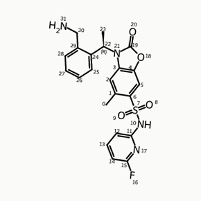 Cc1cc2c(cc1S(=O)(=O)Nc1cccc(F)n1)oc(=O)n2[C@H](C)c1ccccc1CN